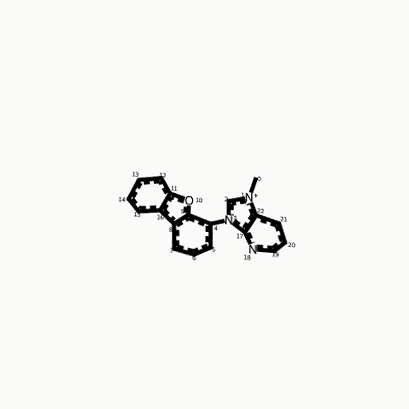 C[n+]1cn(-c2cccc3c2oc2ccccc23)c2ncccc21